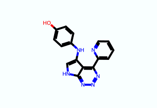 Oc1ccc(Nc2c[nH]c3nnnc(-c4ccccn4)c23)cc1